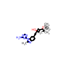 Cc1nc2ccc(C#CC3(O)CC(C(O[SiH](C)C)C(C)(C)C)C3)cc2n1-c1ncnc(N)n1